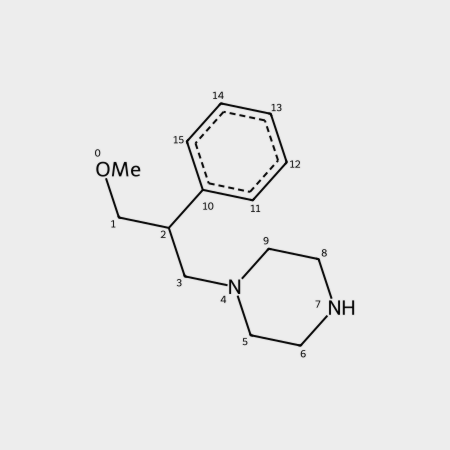 COCC(CN1CCNCC1)c1ccccc1